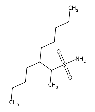 CCCCCC(CCCC)C(C)S(N)(=O)=O